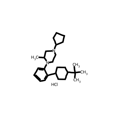 CC1CN(C2CCCC2)CCN1c1ccccc1C1CCC(C(C)(C)C)CC1.Cl